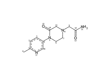 Cc1ccc(N2CCN(CC(N)=O)CC2=O)cn1